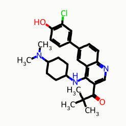 CN(C)C1CCC(Nc2c(C(=O)C(C)(C)C)cnc3ccc(-c4ccc(O)c(Cl)c4)cc23)CC1